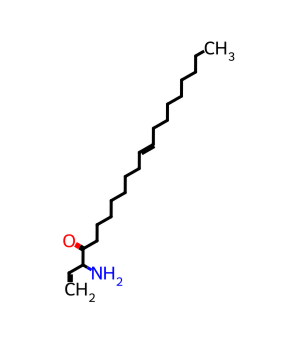 C=CC(N)C(=O)CCCCCCCC=CCCCCCCCC